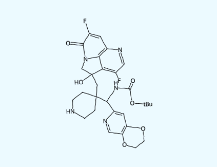 CC(C)(C)OC(=O)NC(c1cc2c(cn1)OCCO2)C1(CC2(O)Cn3c(=O)c(F)cc4ncc(F)c2c43)CCNCC1